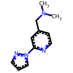 CN(C)Cc1ccnc(-n2c[c]cn2)c1